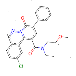 CCN(CCOC)C(=O)c1cc(-c2ccccc2)c(=O)n2ncc3ccc(Cl)cc3c12